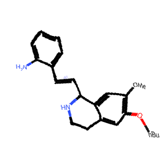 CCCCOc1cc2c(cc1OC)C(/C=C/c1ccccc1N)NCC2